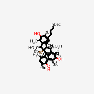 [CH2]CSC(C(C(=O)O)c1c(C)cc(C(C)(C)C)c(O)c1C)(C(C(=O)O)c1c(C)cc(C(C)(C)C)c(O)c1C)C(CCCCCCCCCCCCCCCC)C(C(=O)O)c1c(C)cc(C(C)(C)C)c(O)c1C